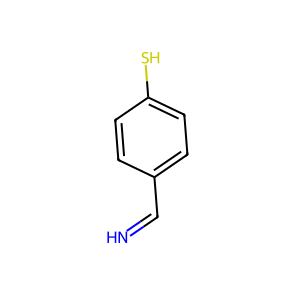 N=Cc1ccc(S)cc1